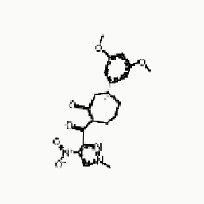 COc1cc(OC)cc([C@@H]2CCCC(C(=O)c3nn(C)cc3[N+](=O)[O-])C(=O)C2)c1